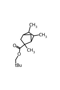 CC1C2CC(C1C)C(C)(C(=O)OCC(C)(C)C)C2